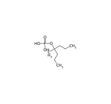 CCCC(C)(CCC)OP(=O)(O)O